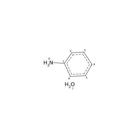 Nc1cc[c]cc1.O